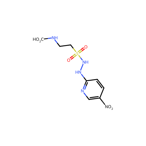 O=C(O)NCCS(=O)(=O)NNc1ccc([N+](=O)[O-])cn1